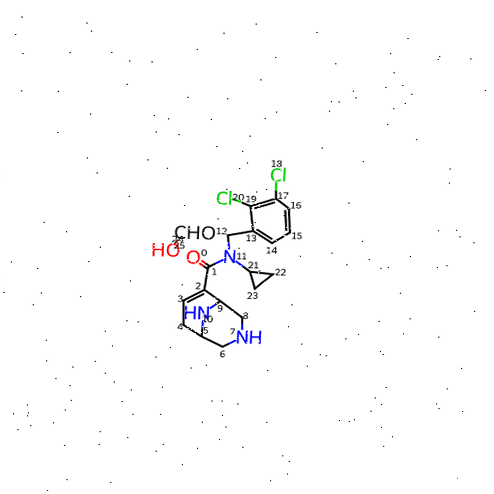 O=C(C1=CCC2CNCC1N2)N(Cc1cccc(Cl)c1Cl)C1CC1.O=CO